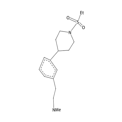 CCS(=O)(=O)N1CCC(c2cccc(CCNC)c2)CC1